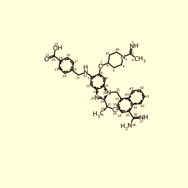 CC(=N)N1CCC(Oc2cc3c(cc2NCc2ccc(C(=O)O)cc2)nc(C(C)C)n3Cc2ccc(C(=N)N)c3ccccc23)CC1